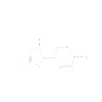 Cn1cc(C(F)(F)F)nc1-c1ccc(N)cc1